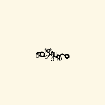 CN1C(=O)C(NC(=O)c2cc(Cc3ccccc3)on2)CSc2cc3occc3cc21